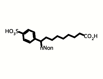 CCCCCCCCCC(CCCCCCCC(=O)O)c1ccc(S(=O)(=O)O)cc1